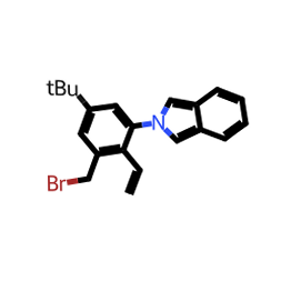 C=Cc1c(CBr)cc(C(C)(C)C)cc1-n1cc2ccccc2c1